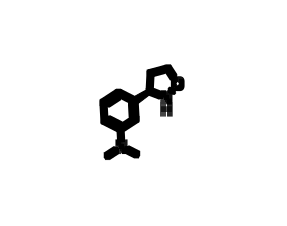 CN(C)c1cccc([C@H]2CCON2)c1